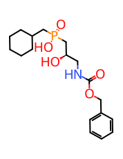 O=C(NC[C@@H](O)CP(=O)(O)CC1CCCCC1)OCc1ccccc1